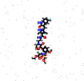 CCOC(=O)[C@H](C)NP(=O)(COC)Oc1cc(C(O)C(=O)N(CC)CCNC(=O)c2c(C)[nH]c(/C=C3\C(=O)Nc4ccc(F)cc43)c2C)ccc1OC